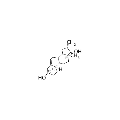 C=C1CC2C3CC=C4C[C@H](O)CC[C@@H]4C3CC[C@]2(C)[C@H]1O